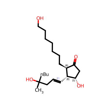 CCCCC(C)(O)C/C=C/[C@H]1[C@@H](O)CC(=O)[C@@H]1CCCCCCCO